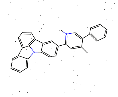 Cc1cc(-c2ccc3c(c2)c2cccc4c5ccccc5n3c42)[n+](C)cc1-c1ccccc1